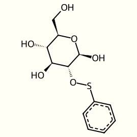 OC[C@H]1O[C@@H](O)[C@H](OSc2ccccc2)[C@@H](O)[C@@H]1O